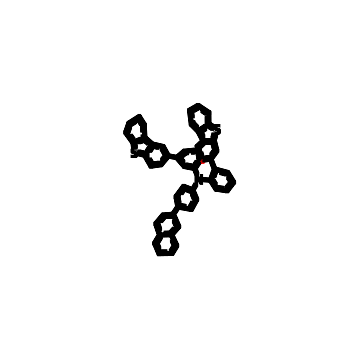 c1cc(-c2ccc3sc4ccccc4c3c2)cc(N(c2ccc(-c3ccc4ccccc4c3)cc2)c2ccccc2-c2ccc3c(c2)sc2ccccc23)c1